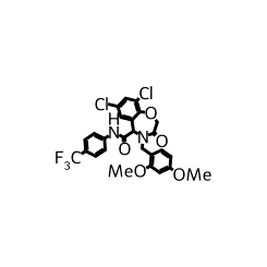 COc1ccc(CN2C(=O)COc3c(Cl)cc(Cl)cc3C2C(=O)Nc2ccc(C(F)(F)F)cc2)c(OC)c1